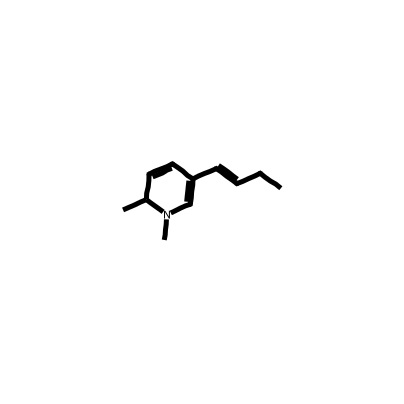 CC/C=C/C1=CN(C)C(C)C=C1